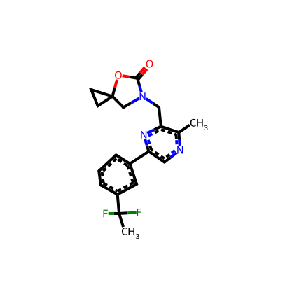 Cc1ncc(-c2cccc(C(C)(F)F)c2)nc1CN1CC2(CC2)OC1=O